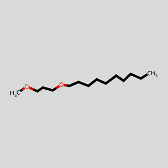 CCCCCCCCCCOCCCOC